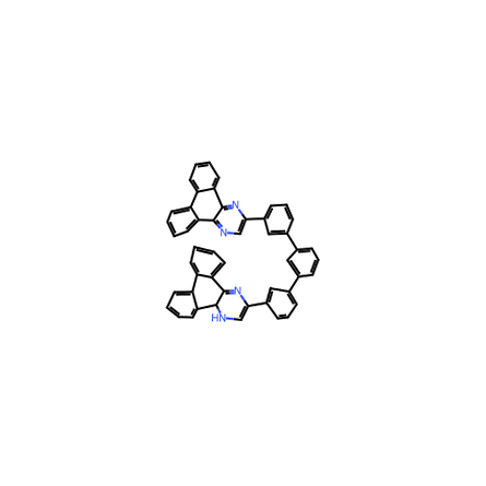 C1=C(c2cccc(-c3cccc(-c4cccc(-c5cnc6c7ccccc7c7ccccc7c6n5)c4)c3)c2)N=C2c3ccccc3-c3ccccc3C2N1